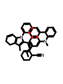 CC/C=C\c1c(C)c2c(n1-c1ccccc1-c1cc(C3=CCCCC3C#N)cc(N(C)c3ccccc3-c3ccccc3)c1)C=CCC2